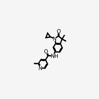 Cc1cc(C(=O)Nc2ccc3c(c2)N(C2CC2)C(=O)C3(C)C)ccn1